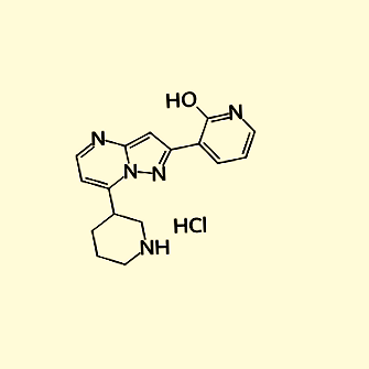 Cl.Oc1ncccc1-c1cc2nccc(C3CCCNC3)n2n1